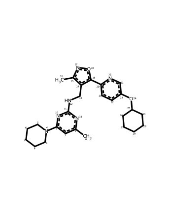 Cc1cc(N2CCCCC2)nc(NCc2c(C)noc2-c2ccc(OC3CCCCC3)cn2)n1